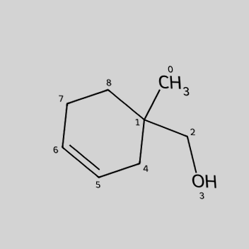 CC1(CO)CC=CCC1